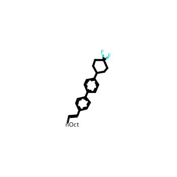 CCCCCCCCC=Cc1ccc(-c2ccc(C3CCC(F)(F)CC3)cc2)cc1